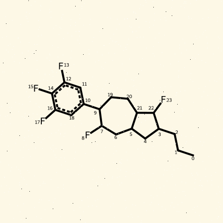 CCCC1CC2CC(F)C(c3cc(F)c(F)c(F)c3)CCC2C1F